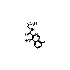 Cc1cccc2c(O)c(C(=O)NCC(=O)O)ncc12